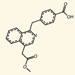 COC(=O)Cc1cnc(Cc2ccc(C(=O)O)cc2)c2ccccc12